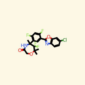 CC1(C)OCC(=O)NC(C)(c2cc(-c3nc4ccc(Cl)cc4o3)c(F)cc2F)C1(F)F